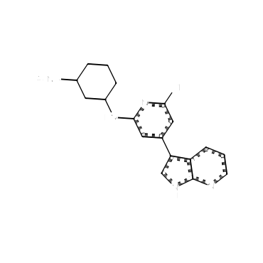 CC(=O)NC1CCCC(Nc2cc(-c3c[nH]c4ncccc34)cc(Cl)n2)C1